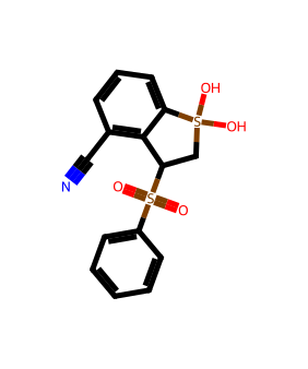 N#Cc1cccc2c1C(S(=O)(=O)c1ccccc1)CS2(O)O